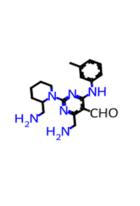 Cc1cccc(Nc2nc(N3CCCCC3CN)nc(CN)c2C=O)c1